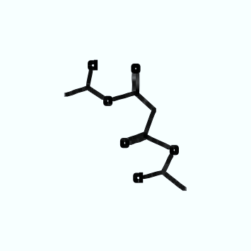 CC(Cl)OC(=O)CC(=O)OC(C)Cl